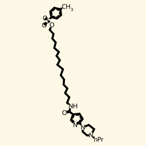 CCCN1CCN(c2ccc(C(=O)NCCCCCCCCCCCCCCCCCOS(=O)(=O)c3ccc(C)cc3)cn2)CC1